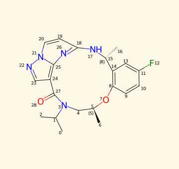 CC(C)N1C[C@H](C)Oc2ccc(F)cc2[C@@H](C)Nc2ccn3ncc(c3n2)C1=O